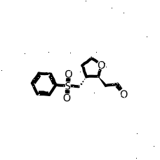 O=CC[C@@H]1OCC[C@H]1CS(=O)(=O)c1ccccc1